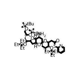 CC[Si](CC)(CC)O[C@@H](C[C@H](CO[Si](C)(C)C(C)(C)C)O[Si](C)(C)C(C)(C)C)C1C[C@@H]2O[C@]3(C[C@H](C)[C@H](O[Si](CC)(CC)CC)C(CC(=O)Sc4ccccn4)O3)C[C@H](N)[C@@H]2O1